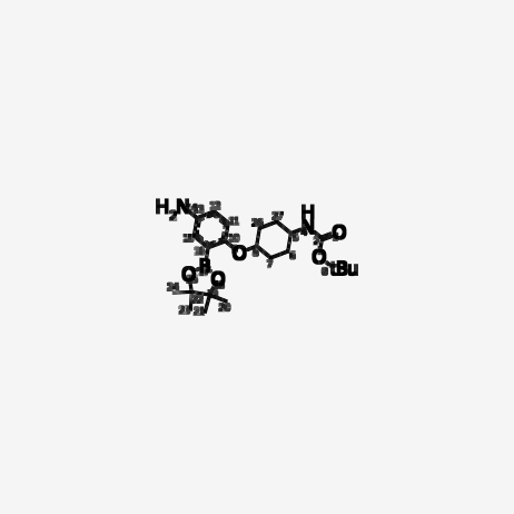 CC(C)(C)OC(=O)NC1CCC(Oc2ccc(N)cc2B2OC(C)(C)C(C)(C)O2)CC1